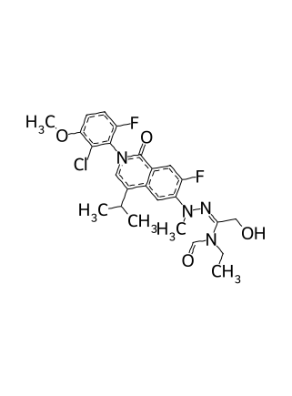 CCN(C=O)/C(CO)=N\N(C)c1cc2c(C(C)C)cn(-c3c(F)ccc(OC)c3Cl)c(=O)c2cc1F